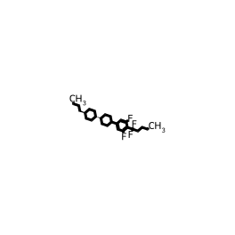 CCCCC(F)(F)c1c(F)cc(C2CCC([C@H]3CC[C@H](CCCC)CC3)CC2)cc1F